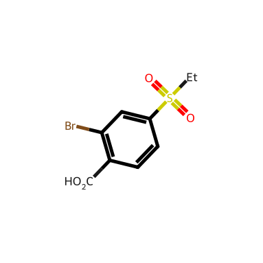 CCS(=O)(=O)c1ccc(C(=O)O)c(Br)c1